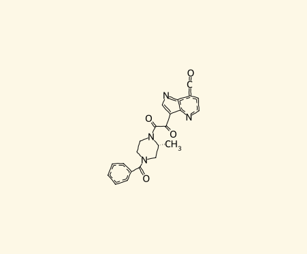 C[C@@H]1CN(C(=O)c2ccccc2)CCN1C(=O)C(=O)C1=CN=c2c1nccc2=C=O